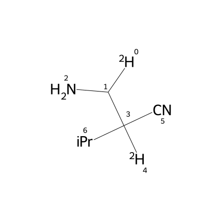 [2H]C(N)C([2H])(C#N)C(C)C